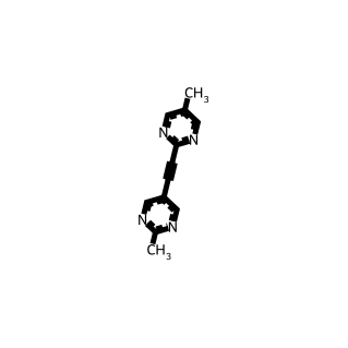 Cc1cnc(C#Cc2cnc(C)nc2)nc1